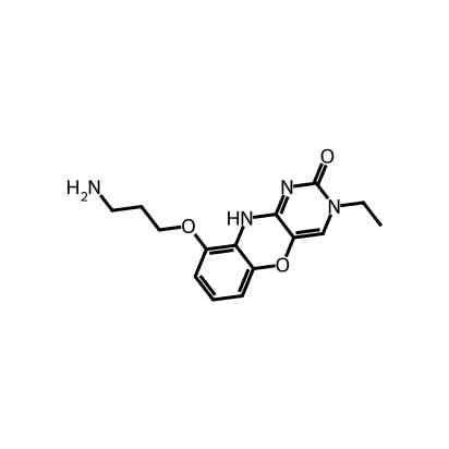 CCn1cc2c(nc1=O)Nc1c(OCCCN)cccc1O2